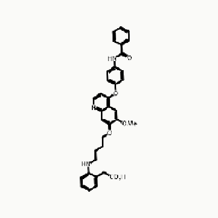 COc1cc2c(Oc3ccc(NC(=O)c4ccccc4)cc3)ccnc2cc1OCCCCNc1ccccc1CC(=O)O